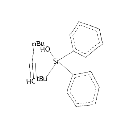 C#CCCCC.CC(C)(C)[Si](O)(c1ccccc1)c1ccccc1